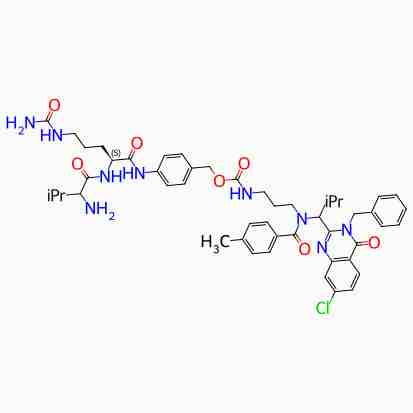 Cc1ccc(C(=O)N(CCCNC(=O)OCc2ccc(NC(=O)[C@H](CCCNC(N)=O)NC(=O)C(N)C(C)C)cc2)C(c2nc3cc(Cl)ccc3c(=O)n2Cc2ccccc2)C(C)C)cc1